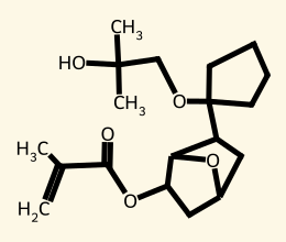 C=C(C)C(=O)OC1CC2CC(C3(OCC(C)(C)O)CCCC3)C1O2